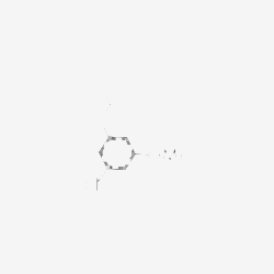 COc1cc(Cl)cc(OCF)c1